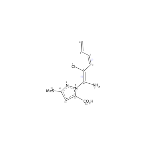 C=C/C=C\C(Cl)=C(/N)n1nc(SC)cc1C(=O)O